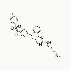 Cc1ccc(S(=O)(=O)Nc2ccc(C3Cc4cnc(NCCCCN(C)C)nc4-c4ccccc43)cc2)cc1